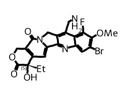 CC[C@@]1(O)C(=O)OCc2c1cc1n(c2=O)Cc2c-1nc1cc(Br)c(OC)c(F)c1c2CN